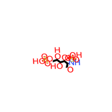 O=C[C@H](NS(=O)(=O)O)[C@@H](O)[C@@H](O)[C@H](O)COS(=O)(=O)O